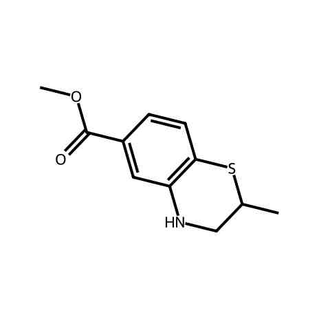 COC(=O)c1ccc2c(c1)NCC(C)S2